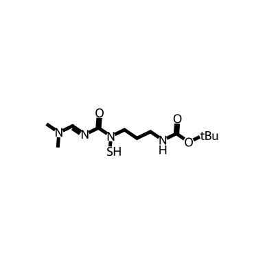 CN(C)C=NC(=O)N(S)CCCNC(=O)OC(C)(C)C